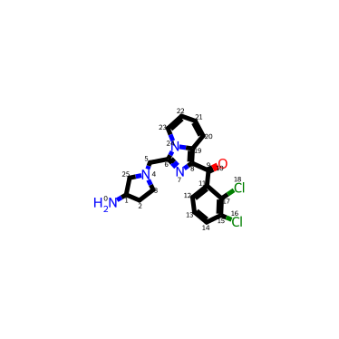 NC1CCN(Cc2nc(C(=O)c3cccc(Cl)c3Cl)c3ccccn23)C1